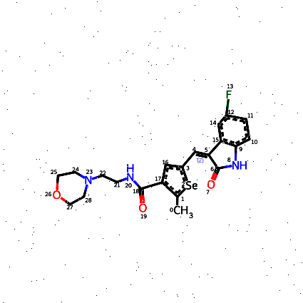 Cc1[se]c(/C=C2\C(=O)Nc3ccc(F)cc32)cc1C(=O)NCCN1CCOCC1